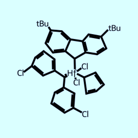 CC(C)(C)c1ccc2c(c1)-c1cc(C(C)(C)C)ccc1[CH]2[Hf]([Cl])([Cl])(=[C](c1cccc(Cl)c1)c1cccc(Cl)c1)[CH]1C=CC=C1